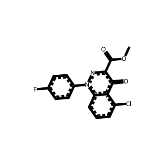 COC(=O)c1nn(-c2ccc(F)cc2)c2cccc(Cl)c2c1=O